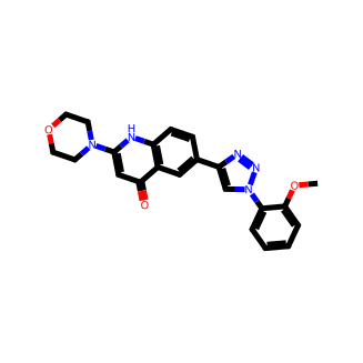 COc1ccccc1-n1cc(-c2ccc3[nH]c(N4CCOCC4)cc(=O)c3c2)nn1